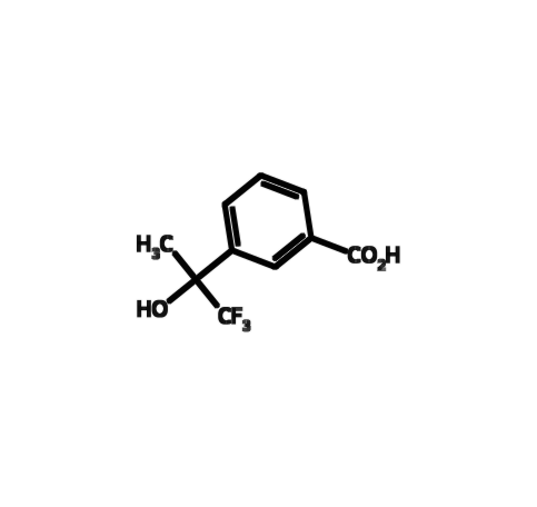 CC(O)(c1cccc(C(=O)O)c1)C(F)(F)F